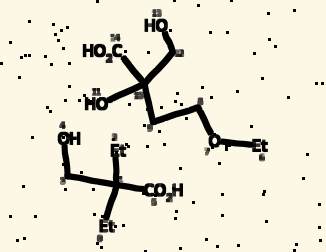 CCC(CC)(CO)C(=O)O.CCOCCC(O)(CO)C(=O)O